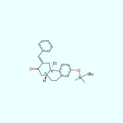 CC[C@@]12CC(=Cc3ccccc3)C(=O)C[C@H]1CCc1cc(O[Si](C)(C)C(C)(C)C)ccc12